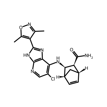 Cc1noc(C)c1-c1nc2c(N[C@H]3[C@@H](C(N)=O)[C@@H]4C=C[C@H]3C4)c(Cl)cnc2[nH]1